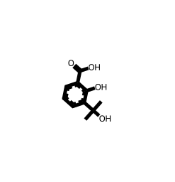 CC(C)(O)c1cccc(C(=O)O)c1O